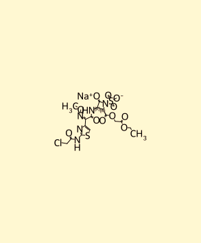 CCOC(=O)COC(=O)[C@H]1[C@@H](NC(=O)C(=NOC)c2csc(NC(=O)CCl)n2)C(=O)N1S(=O)(=O)[O-].[Na+]